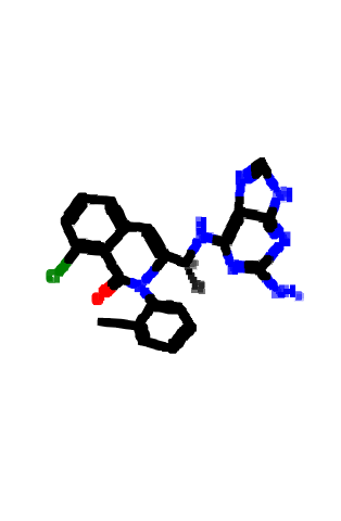 CC[C@@H](Nc1nc(N)nc2[nH]cnc12)c1cc2cccc(Cl)c2c(=O)n1-c1ccccc1C